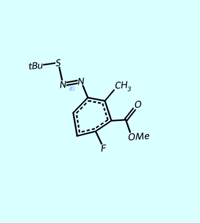 COC(=O)c1c(F)ccc(/N=N/SC(C)(C)C)c1C